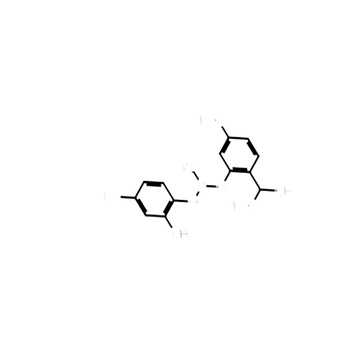 Cc1ccc(OP(Cl)Oc2cc(C)ccc2C(C)C)c(C)c1